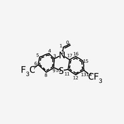 C=CN1c2ccc(C(F)(F)F)cc2Sc2cc(C(F)(F)F)ccc21